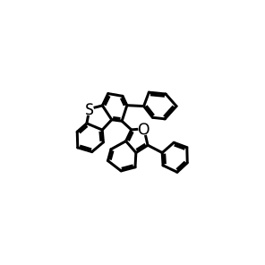 c1ccc(-c2ccc3sc4ccccc4c3c2-c2oc(-c3ccccc3)c3ccccc23)cc1